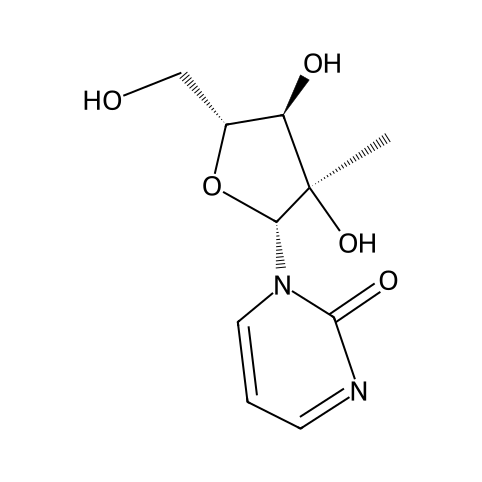 C[C@@]1(O)[C@H](O)[C@@H](CO)O[C@H]1n1cccnc1=O